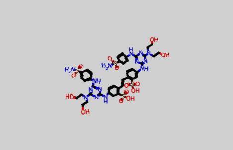 NS(=O)(=O)c1ccc(Nc2nc(Nc3ccc(C=Cc4ccc(Nc5nc(Nc6ccc(S(N)(=O)=O)cc6)nc(N(CCO)CCO)n5)cc4S(=O)(=O)O)c(S(=O)(=O)O)c3)nc(N(CCO)CCO)n2)cc1